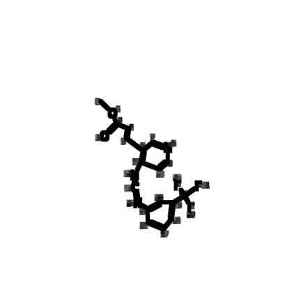 COC(=O)/C=C/c1cnccc1N=C=Nc1cccc(C(F)(F)F)c1